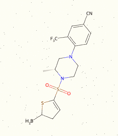 BC1CC=C(S(=O)(=O)N2CCN(c3ccc(C#N)cc3C(F)(F)F)C[C@H]2C)S1